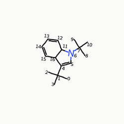 CC(C)(C)C1=CN(C(C)(C)C)C2C=CC=CC12